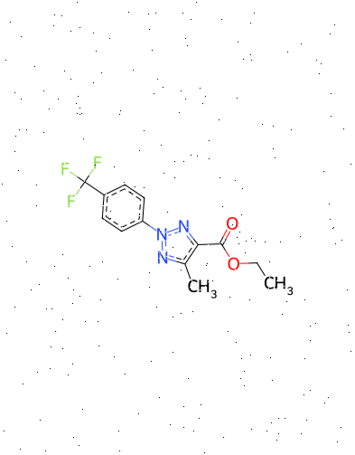 CCOC(=O)c1nn(-c2ccc(C(F)(F)F)cc2)nc1C